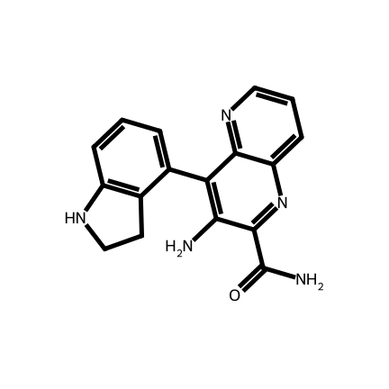 NC(=O)c1nc2cccnc2c(-c2cccc3c2CCN3)c1N